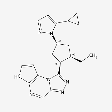 CC[C@@H]1C[C@H](n2nccc2C2CC2)C[C@@H]1c1nnc2cnc3[nH]ccc3n12